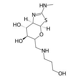 CNC1=N[C@@H]2[C@@H](O)[C@H](O)C(CNCCCO)O[C@@H]2S1